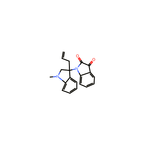 C=CCC1(N2C(=O)C(=O)c3ccccc32)CN(C)c2ccccc21